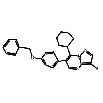 Brc1cnn2c(C3CCCCC3)c(-c3ccc(OCc4ccccc4)cc3)cnc12